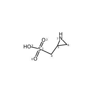 O=S(=O)(O)CC1CN1